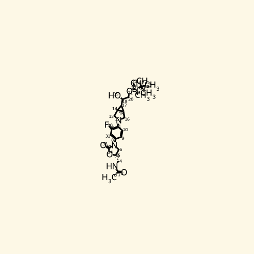 CC(=O)NC[C@H]1CN(c2ccc(N3CC4C(C3)C4C(O)CO[Si](C)(C)C(C)(C)C)c(F)c2)C(=O)O1